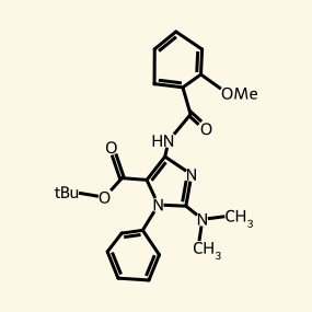 COc1ccccc1C(=O)Nc1nc(N(C)C)n(-c2ccccc2)c1C(=O)OC(C)(C)C